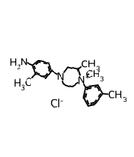 Cc1cccc([N+]2(C)CCN(c3ccc(N)c(C)c3)CC2C)c1.[Cl-]